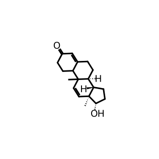 CC12C=C[C@]3(C)[C@@H](O)CC[C@H]3[C@@H]1CCC1=CC(=O)CCC12